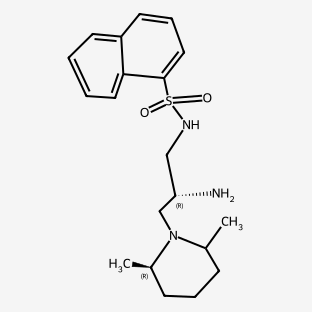 CC1CCC[C@@H](C)N1C[C@@H](N)CNS(=O)(=O)c1cccc2ccccc12